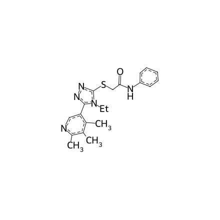 CCn1c(SCC(=O)Nc2ccccc2)nnc1-c1cnc(C)c(C)c1C